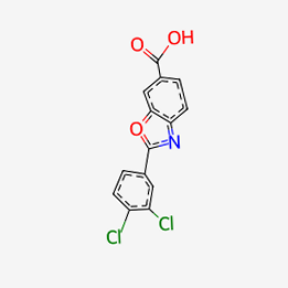 O=C(O)c1ccc2nc(-c3ccc(Cl)c(Cl)c3)oc2c1